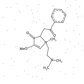 COC1=C[N+](C)(CCN(C)C)C(CC(=O)c2ccccc2)C1=O